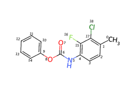 Cc1ccc(NC(=O)Oc2ccccc2)c(F)c1Cl